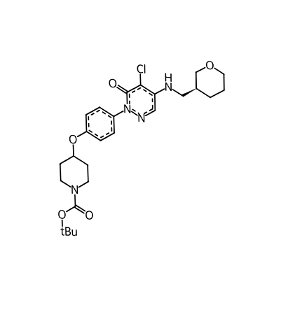 CC(C)(C)OC(=O)N1CCC(Oc2ccc(-n3ncc(NC[C@@H]4CCCOC4)c(Cl)c3=O)cc2)CC1